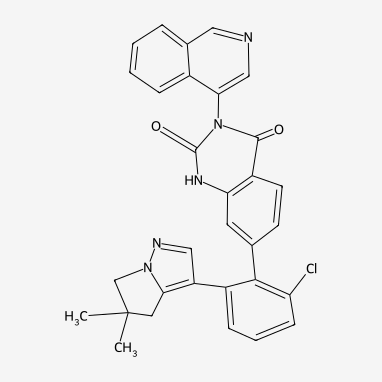 CC1(C)Cc2c(-c3cccc(Cl)c3-c3ccc4c(=O)n(-c5cncc6ccccc56)c(=O)[nH]c4c3)cnn2C1